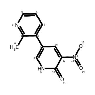 Cc1ncccc1-c1c[nH]c(=O)c([N+](=O)[O-])c1